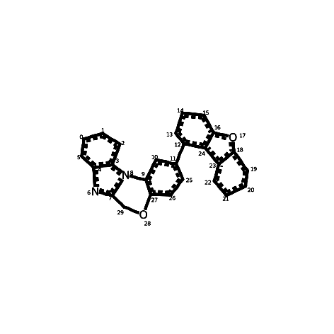 c1ccc2c(c1)nc1n2-c2cc(-c3cccc4oc5ccccc5c34)ccc2OC1